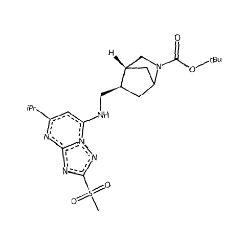 CC(C)c1cc(NC[C@@H]2CC3C[C@H]2CN3C(=O)OC(C)(C)C)n2nc(S(C)(=O)=O)nc2n1